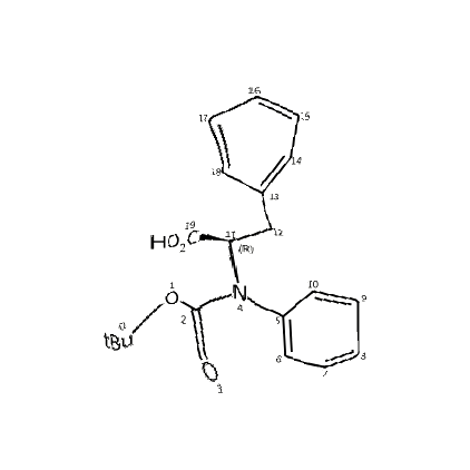 CC(C)(C)OC(=O)N(c1ccccc1)[C@H](Cc1ccccc1)C(=O)O